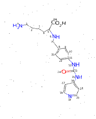 NCCCCC(NCc1ccc(NC(=O)Nc2ccncc2)cc1)C(=O)O